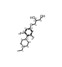 CCN1CCN(c2c(F)cc(OCC(O)CO)cc2F)CC1